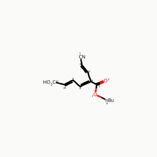 CCCCOC(=O)C(C=CC#N)=CC=CC(=O)O